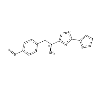 N[C@@H](Cc1ccc(N=O)cc1)c1coc(-c2cccs2)n1